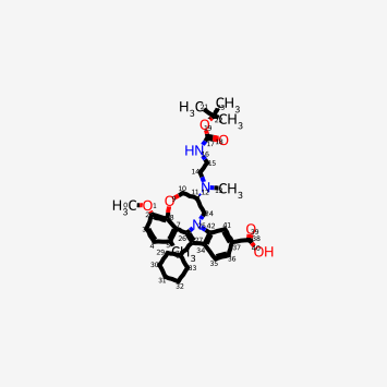 COc1ccc(C)c2c1OC[C@H](N(C)CCNC(=O)OC(C)(C)C)Cn1c-2c(C2CCCCC2)c2ccc(C(=O)O)cc21